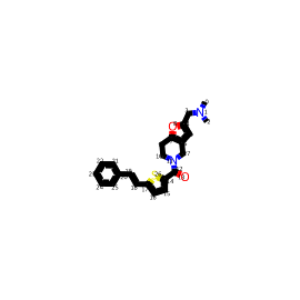 CN(C)Cc1cc2c(o1)CCN(C(=O)c1ccc(C=Cc3ccccc3)s1)C2